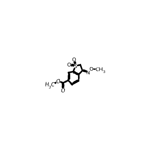 CON=C1CS(=O)(=O)c2cc(C(=O)OC)ccc21